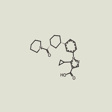 O=C(O)c1cnn(-c2cccc([C@H]3CCC[C@@H](C(=O)N4CCCCC4)C3)c2)c1C1CC1